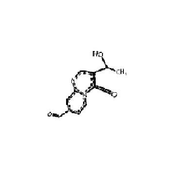 CC(O)c1cnc2cc(C=O)ccn2c1=O